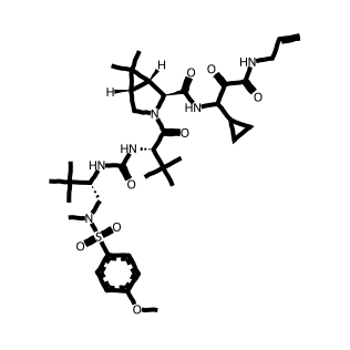 C=CCNC(=O)C(=O)C(NC(=O)[C@@H]1[C@@H]2[C@H](CN1C(=O)[C@@H](NC(=O)N[C@H](CN(C)S(=O)(=O)c1ccc(OC)cc1)C(C)(C)C)C(C)(C)C)C2(C)C)C1CC1